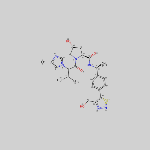 Cc1cn(C(C(=O)N2C[C@H](O)C[C@H]2C(=O)N[C@@H](C)c2ccc(-c3snnc3CO)cc2)C(C)C)cn1